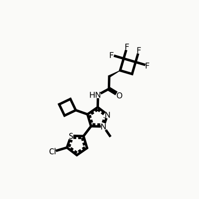 Cn1nc(NC(=O)C[C@@H]2CC(F)(F)C2(F)F)c(C2CCC2)c1-c1ccc(Cl)s1